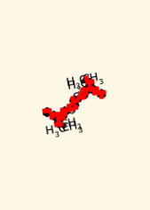 CC(C)(C)c1cccc(N(c2ccc(-c3ccccc3)cc2)c2ccc3cc(-c4cc5c(ccc6c7cc(-c8ccc9cc(N(c%10ccc(-c%11ccccc%11)cc%10)c%10cccc(C(C)(C)C)c%10)ccc9c8)oc7ccc56)o4)ccc3c2)c1